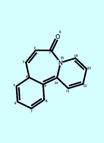 O=C1C=CC2C=CC=CC2=C2C=CC=CN12